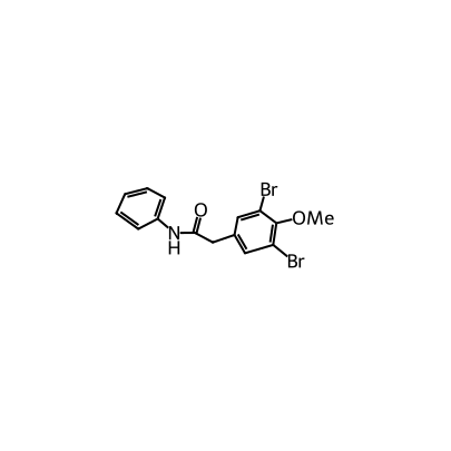 COc1c(Br)cc(CC(=O)Nc2ccccc2)cc1Br